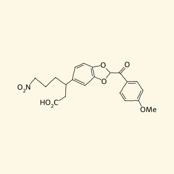 COc1ccc(C(=O)C2Oc3ccc(C(CCC[N+](=O)[O-])CC(=O)O)cc3O2)cc1